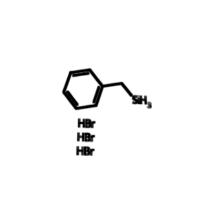 Br.Br.Br.[SiH3]Cc1ccccc1